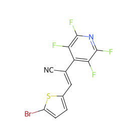 N#CC(=Cc1ccc(Br)s1)c1c(F)c(F)nc(F)c1F